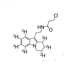 [2H]c1c([2H])c([2H])c2c(c1[2H])c(CCNC(=O)CCCl)c1n2CC([2H])C([2H])C1[2H]